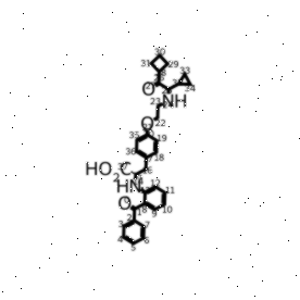 O=C(c1ccccc1)c1ccccc1N[C@@H](Cc1ccc(OCCNC(C(=O)C2CCC2)C2CC2)cc1)C(=O)O